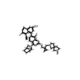 C#Cc1c(F)ccc2cc(O)cc(-c3ccc4c(N5CC6CCC(C5)N6)nc(OCC5(CN6CCC7(CCN(C)C7)C6)CC5)nc4c3F)c12